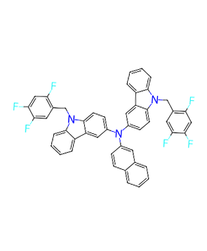 Fc1cc(F)c(Cn2c3ccccc3c3cc(N(c4ccc5ccccc5c4)c4ccc5c(c4)c4ccccc4n5Cc4cc(F)c(F)cc4F)ccc32)cc1F